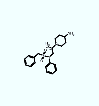 C[C@H](CN(c1ccccc1)S(=O)(=O)Cc1ccccc1)N1CCC(N)CC1